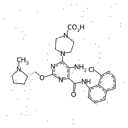 CN1CCC[C@H]1COc1nc(C(=O)Nc2cccc3cccc(Cl)c23)c(N)c(N2CCN(C(=O)O)CC2)n1